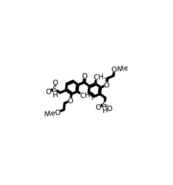 COCCOc1c(C[SH](=O)=O)ccc(C(=O)c2ccc(C[SH](=O)=O)c(OCCOC)c2C)c1C